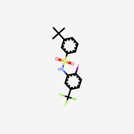 CC(C)(C)c1cccc(S(=O)(=O)Nc2cc(C(F)(F)F)ccc2I)c1